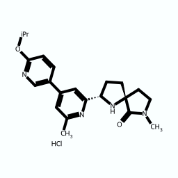 Cc1cc(-c2ccc(OC(C)C)nc2)cc([C@@H]2CC[C@]3(CCN(C)C3=O)N2)n1.Cl